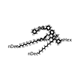 CCCCCCCCCCCCCCCCCCCC=CC1=C(c2cccc(CCCCCC)c2)[N+](=[N-])C(c2ccccc2CCC#CCCCCCCCCCCCCCCCCCCCCCCCCC)=C1CCCCCCCCCCCC.c1ccc(C[O][Pd][O]Cc2ccccc2)cc1